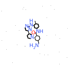 Cc1ccc(NC(=O)C2CCC(CN)CC2)cc1Nc1nccc(-c2cccnc2)n1